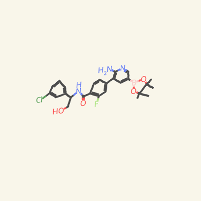 CC1(C)OB(c2cnc(N)c(-c3ccc(C(=O)NC(CO)c4cccc(Cl)c4)c(F)c3)c2)OC1(C)C